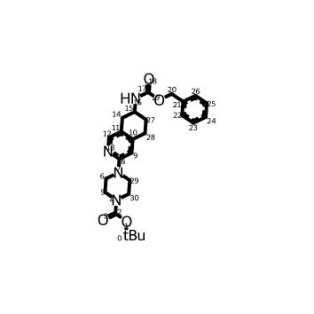 CC(C)(C)OC(=O)N1CCN(c2cc3c(cn2)CC(NC(=O)OCc2ccccc2)CC3)CC1